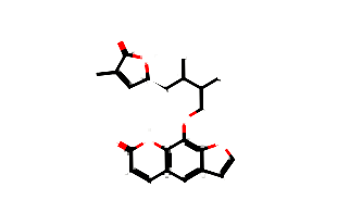 CC1=C[C@H](CC(C)C(C)COc2c3occc3cc3ccc(=O)oc23)OC1=O